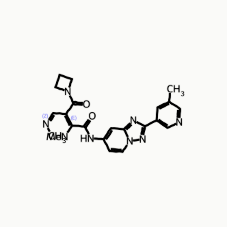 C/N=C\C(C(=O)N1CCC1)=C(/NC)C(=O)Nc1ccn2nc(-c3cncc(C)c3)nc2c1